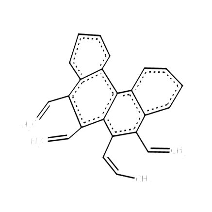 C=Cc1c(C=C)c2c(/C=C\C)c(C=C)c3ccccc3c2c2ccccc12